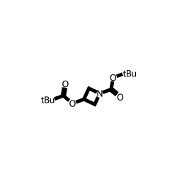 CC(C)(C)OC(=O)N1CC(OC(=O)C(C)(C)C)C1